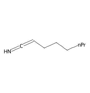 CCCCCCC=C=N